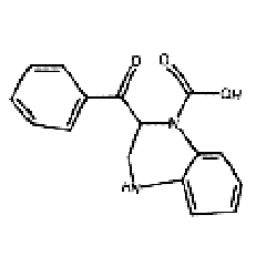 O=C(c1ccccc1)C1CNc2ccccc2N1C(=O)O